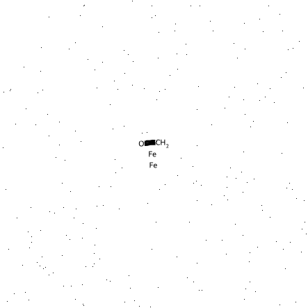 C=O.[Fe].[Fe]